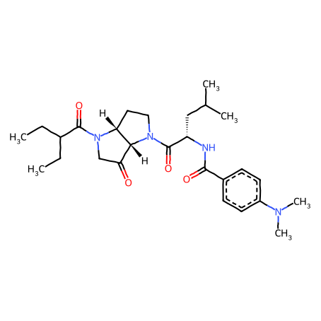 CCC(CC)C(=O)N1CC(=O)[C@@H]2[C@H]1CCN2C(=O)[C@H](CC(C)C)NC(=O)c1ccc(N(C)C)cc1